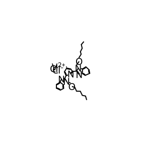 CCCCCCOCn1c(-c2cccc(-c3nc4ccccc4n3COCCCCCC)n2)nc2ccccc21.[Cl-].[Cl-].[V+2]